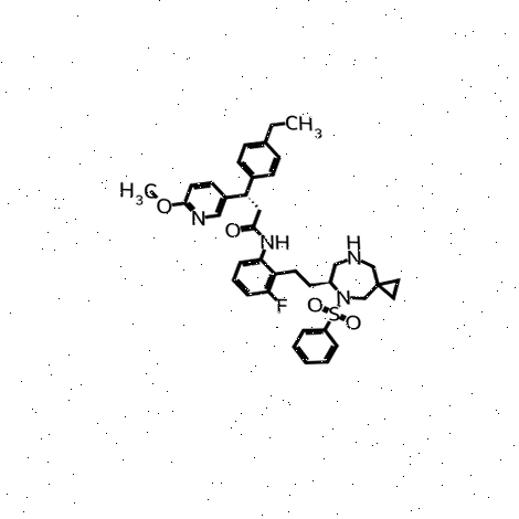 CCc1ccc([C@H](CC(=O)Nc2cccc(F)c2CC[C@H]2CNCC3(CC3)CN2S(=O)(=O)c2ccccc2)c2ccc(OC)nc2)cc1